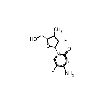 CC1[C@@H](CO)O[C@@H](n2cc(F)c(N)nc2=O)[C@H]1F